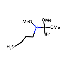 CCCC(OC)(OC)N(CCC[SiH3])OC